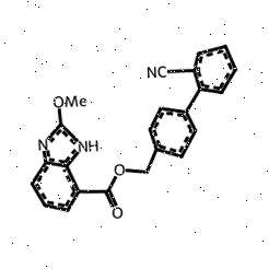 COc1nc2cccc(C(=O)OCc3ccc(-c4ccccc4C#N)cc3)c2[nH]1